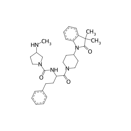 CNC1CCN(C(=O)NC(CCc2ccccc2)C(=O)N2CCC(N3C(=O)C(C)(C)c4ccccc43)CC2)C1